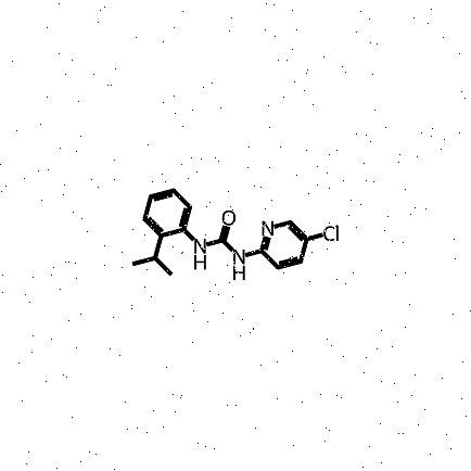 CC(C)c1ccccc1NC(=O)Nc1ccc(Cl)cn1